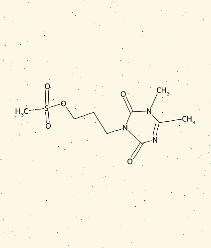 Cc1nc(=O)n(CCCOS(C)(=O)=O)c(=O)n1C